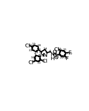 O=S(=O)(NCC1=NN(c2ccc(Cl)cc2Cl)C(c2ccc(Cl)cc2)C1)c1cc(F)c(F)cc1Cl